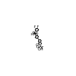 CC(C)C(C(=O)O)N1Cc2ccc(-c3ccc(NS(=O)(=O)c4ccc(F)c(F)c4)cc3)cc2C1=O